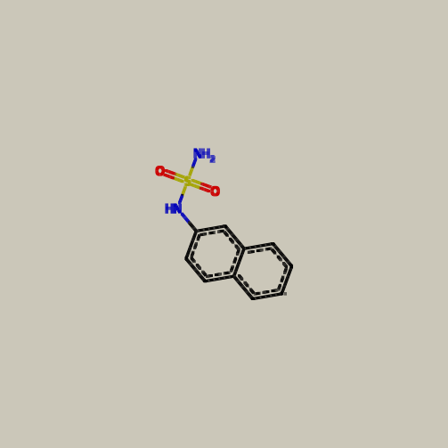 NS(=O)(=O)Nc1ccc2c[c]ccc2c1